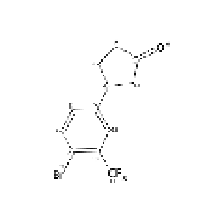 O=C1CCC(c2ccc(Br)c(C(F)(F)F)c2)C1